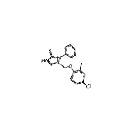 Cc1cc(Cl)ccc1OCc1n[nH]c(=S)n1-c1ccccc1